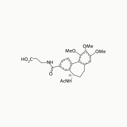 COc1cc2c(c(OC)c1OC)-c1ccc(C(=O)NCCC(=O)O)cc1[C@@H](NC(C)=O)CC2